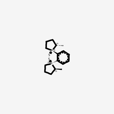 C[C@H]1CCC[P@]1(=S)c1ccccc1[P@@]1(=S)CCC[C@@H]1C